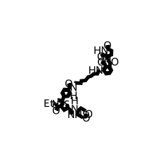 CCn1cc(-c2ccc(C(=O)NCCCCCCCCNc3cccc4c3C(=O)N(C3CCC(=O)NC3=O)C4=O)cc2)c2sc(C(=N)NC3CCS(=O)(=O)CC3)cc2c1=O